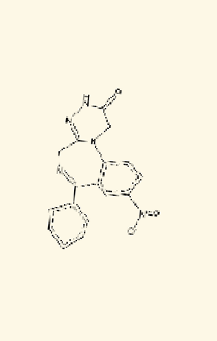 O=C1CN2C(=NN1)CN=C(c1ccccc1)c1cc([N+](=O)[O-])ccc12